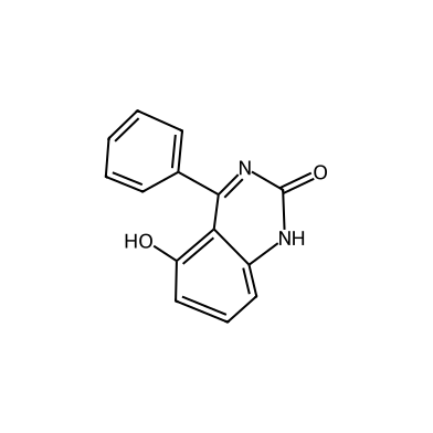 O=c1nc(-c2ccccc2)c2c(O)cccc2[nH]1